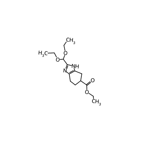 CCOC(=O)C1CCc2nc(C(OCC)OCC)[nH]c2C1